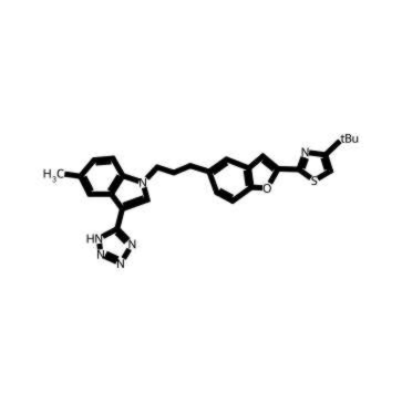 Cc1ccc2c(c1)c(-c1nnn[nH]1)cn2CCCc1ccc2oc(-c3nc(C(C)(C)C)cs3)cc2c1